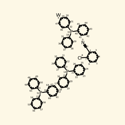 N#Cc1ccccc1Cl.[W].c1ccc(P(c2ccccc2)c2ccccc2)cc1.c1ccc(P(c2ccccc2)c2ccccc2)cc1.c1ccc(P(c2ccccc2)c2ccccc2)cc1